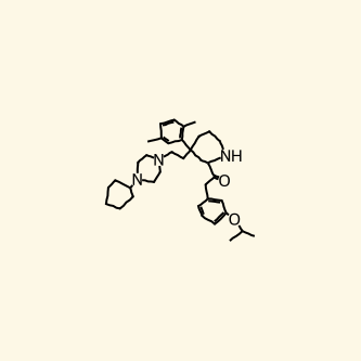 Cc1ccc(C)c(C2(CCN3CCN(C4CCCCC4)CC3)CCCNC(C(=O)Cc3cccc(OC(C)C)c3)C2)c1